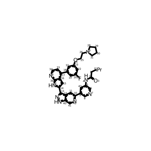 CC(C)CC(=O)Nc1cncc(-c2cc3c(-c4cc5c(-c6cc(F)cc(OCCN7CCCC7)c6)ccnc5[nH]4)n[nH]c3cn2)c1